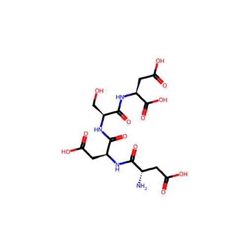 N[C@@H](CC(=O)O)C(=O)N[C@@H](CC(=O)O)C(=O)N[C@@H](CO)C(=O)N[C@@H](CC(=O)O)C(=O)O